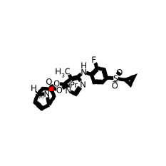 Cc1c(Nc2ccc(S(=O)(=O)C3CC3)cc2F)ncnc1OC1CC2C=C[C@@H](C1)N2C(=O)OC(C)C